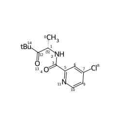 C[C@H](NC(=O)c1cc(Cl)ccn1)C(=O)C(C)(C)C